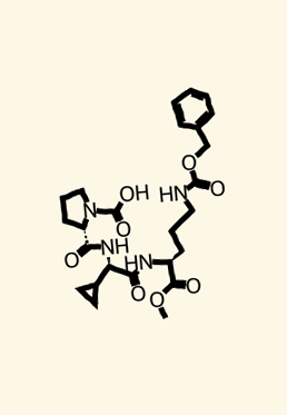 COC(=O)[C@H](CCCNC(=O)OCc1ccccc1)NC(=O)[C@@H](NC(=O)[C@@H]1CCCN1C(=O)O)C1CC1